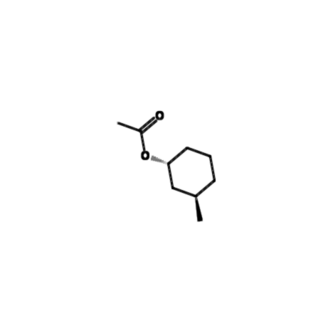 CC(=O)O[C@@H]1CCC[C@@H](C)C1